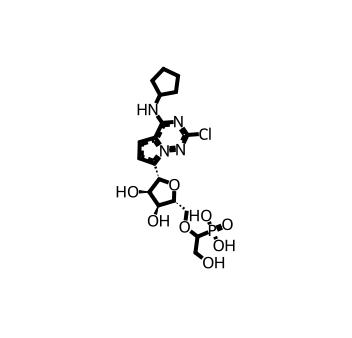 O=P(O)(O)C(CO)OC[C@H]1O[C@@H](c2ccc3c(NC4CCCC4)nc(Cl)nn23)[C@H](O)[C@@H]1O